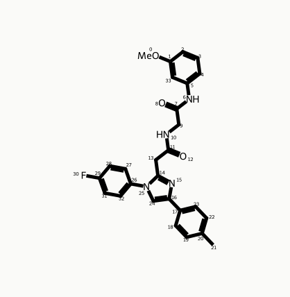 COc1cccc(NC(=O)CNC(=O)Cc2nc(-c3ccc(C)cc3)cn2-c2ccc(F)cc2)c1